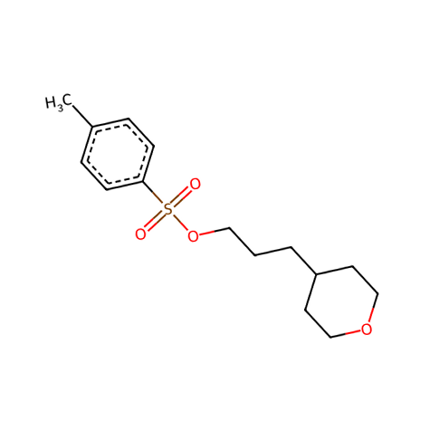 Cc1ccc(S(=O)(=O)OCCCC2CCOCC2)cc1